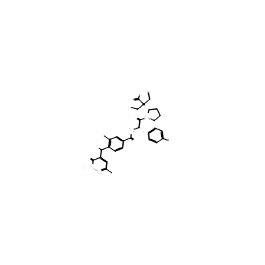 CCC(CC)(C(=O)O)[C@H]1CC[C@@H](c2cccc(F)c2)N1C(=O)[C@@H](C)NC(=O)c1ccc(C(O)c2cc(C)n[nH]c2=O)c(C)c1